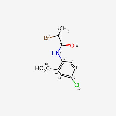 CC(Br)C(=O)Nc1ccc(Cl)cc1C(=O)O